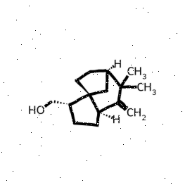 C=C1[C@H]2CC[C@H](CO)[C@@]23CC[C@H](C3)C1(C)C